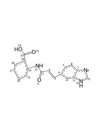 O=C(/C=C/c1ccc2nc[nH]c2c1)Nc1ccccc1C(=O)O